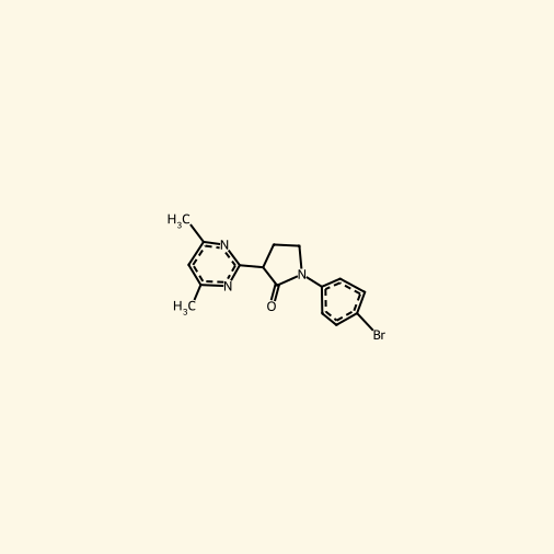 Cc1cc(C)nc(C2CCN(c3ccc(Br)cc3)C2=O)n1